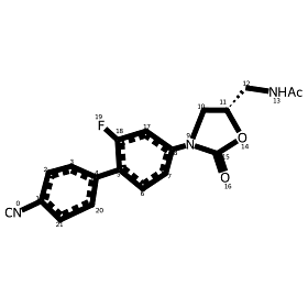 [C-]#[N+]c1ccc(-c2ccc(N3C[C@H](CNC(C)=O)OC3=O)cc2F)cc1